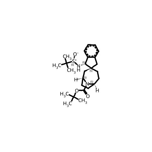 CC(C)(C)OC(=O)N1[C@@H]2CC[C@H]1C[C@]1(CC2)Cc2ccccc2[C@H]1N[S@+]([O-])C(C)(C)C